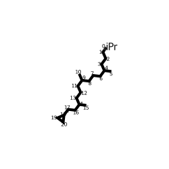 CC(C)CCCC(C)CCCC(C)CCCC(C)C[CH]C1CC1